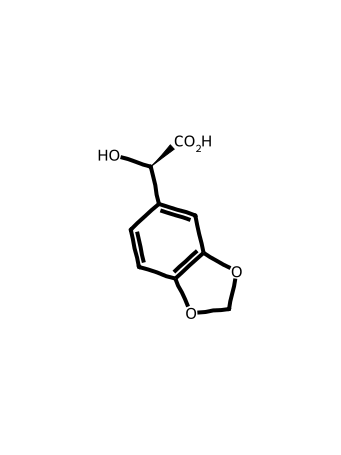 O=C(O)[C@H](O)c1ccc2c(c1)OCO2